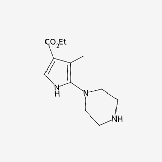 CCOC(=O)c1c[nH]c(N2CCNCC2)c1C